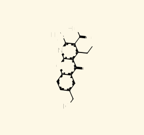 CCc1c(C(=O)O)c(N)nc2oc3ccc(CO)cc3c(=O)c12